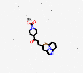 CC(C)(C)OC(=O)N1CCC(C(=O)C=CC2=Cc3cnc4cccc(n34)S2)CC1